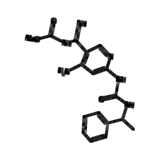 COC(=O)NC(=N)c1cnc(NC(=O)NC(C)c2ccccc2)cc1N